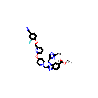 COC(=O)c1ccc2nc(CN3CCC(Oc4cccc(COc5ccc(C#N)cc5F)n4)CC3)n(Cc3cnc(C)n3C)c2c1